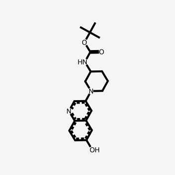 CC(C)(C)OC(=O)NC1CCCN(c2cnc3ccc(O)cc3c2)C1